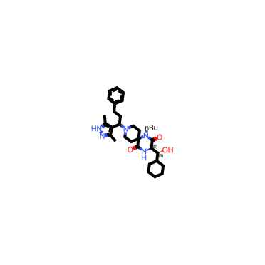 CCCCN1C(=O)[C@@H]([C@H](O)C2CCCCC2)NC(=O)C12CCN(C(CCc1ccccc1)c1c(C)n[nH]c1C)CC2